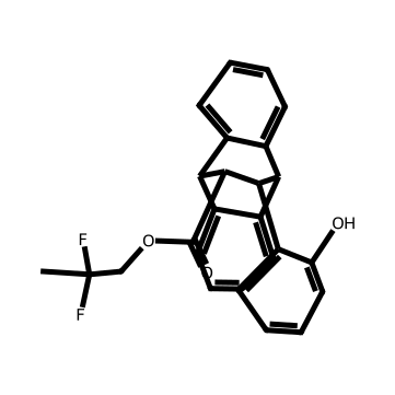 CC(F)(F)COC(=O)C1C2c3ccccc3C(c3ccccc32)C1c1ccccc1O